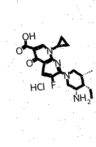 CC[C@@H]1[C@H](N)CN(c2nc3c(cc2F)c(=O)c(C(=O)O)cn3C2CC2)C[C@@H]1C.Cl